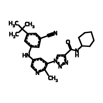 Cc1ncc(Nc2cc(C#N)cc(C(C)(C)C)c2)cc1-n1cc(C(=O)NC2CCCCC2)nn1